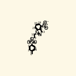 Cc1ccc(S(=O)(=O)OCCn2ncc3c([N+](=O)[O-])cccc32)cc1